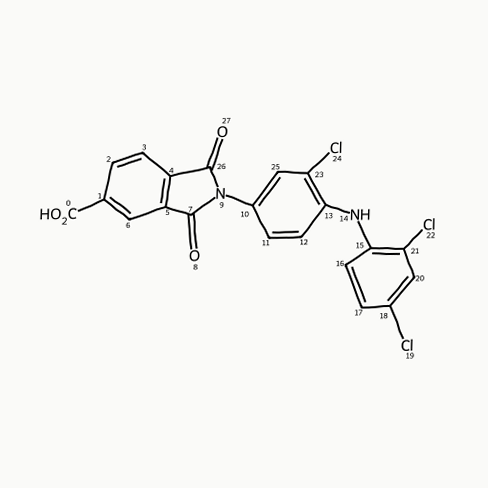 O=C(O)c1ccc2c(c1)C(=O)N(c1ccc(Nc3ccc(Cl)cc3Cl)c(Cl)c1)C2=O